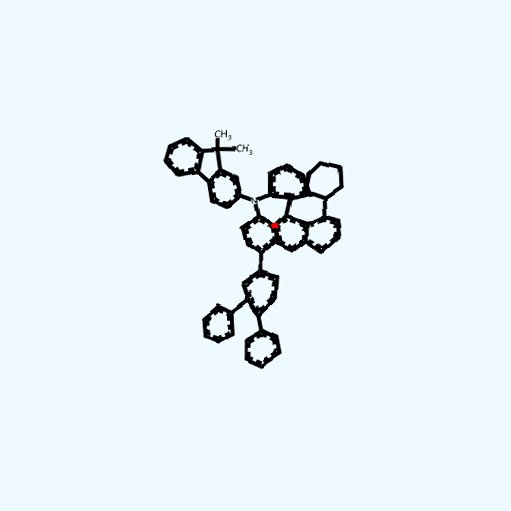 CC1(C)c2ccccc2-c2ccc(N(c3ccc(-c4ccc(-c5ccccc5)c(-c5ccccc5)c4)cc3)c3ccccc3-c3cccc4cccc(C5CCCCC5)c34)cc21